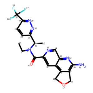 CCN(C(=O)c1cc2c3c(c(N)nc2cn1)COC3)[C@H](C)c1ccc(C(F)(F)F)nn1